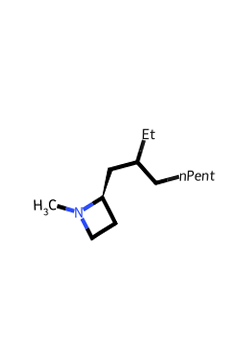 CCCCCCC(CC)C[C@H]1CCN1C